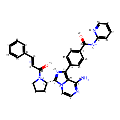 Nc1nccn2c([C@@H]3CCCN3C(=O)/C=C/c3ccccc3)nc(-c3ccc(C(=O)Nc4ccccn4)cc3)c12